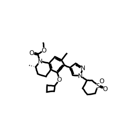 COC(=O)N1c2cc(C)c(-c3cnn(C4CCCS(=O)(=O)C4)c3)c(OC3CCC3)c2CC[C@@H]1C